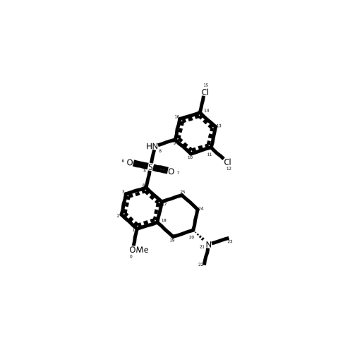 COc1ccc(S(=O)(=O)Nc2cc(Cl)cc(Cl)c2)c2c1C[C@@H](N(C)C)CC2